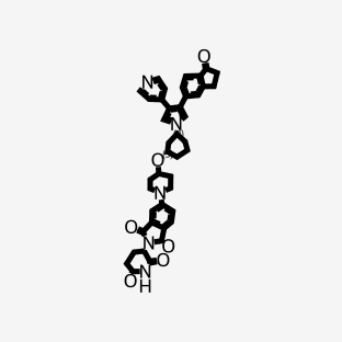 O=C1CCC(N2C(=O)c3ccc(N4CCC(O[C@H]5CCC[C@@H](n6cc(-c7ccncc7)c(-c7ccc8c(c7)CCC8=O)c6)C5)CC4)cc3C2=O)C(=O)N1